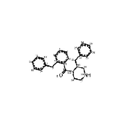 O=C(c1ccccc1Cc1ccccc1)N1CCNCC1Cc1ccccc1